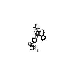 CS(=O)(=O)c1ccc(-n2nc(C(F)(F)F)c3c2-c2ccccc2CO3)cc1